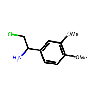 COc1ccc(C(N)CCl)cc1OC